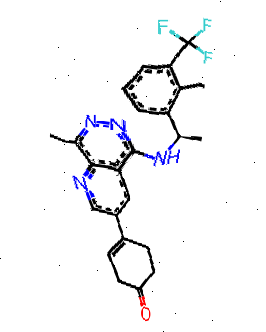 Cc1c([C@@H](C)Nc2nnc(C)c3ncc(C4=CCC(=O)CC4)cc23)cccc1C(F)(F)F